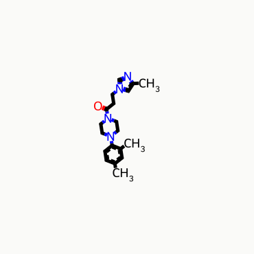 Cc1ccc(N2CCN(C(=O)CCn3cnc(C)c3)CC2)c(C)c1